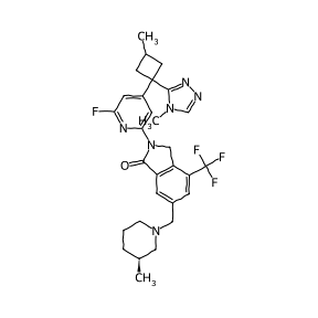 CC1CC(c2cc(F)nc(N3Cc4c(cc(CN5CCC[C@H](C)C5)cc4C(F)(F)F)C3=O)c2)(c2nncn2C)C1